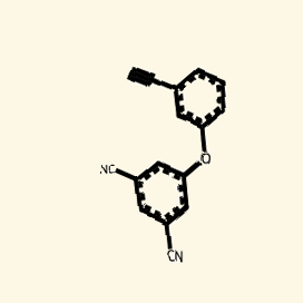 C#Cc1cccc(Oc2cc(C#N)cc(C#N)c2)c1